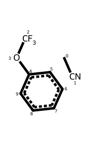 CC#N.FC(F)(F)Oc1ccccc1